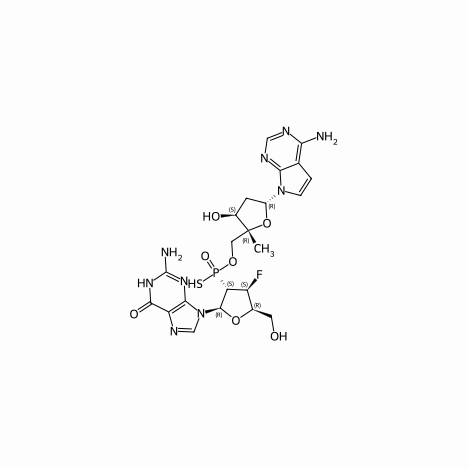 C[C@]1(COP(=O)(S)[C@@H]2[C@@H](F)[C@@H](CO)O[C@H]2n2cnc3c(=O)[nH]c(N)nc32)O[C@@H](n2ccc3c(N)ncnc32)C[C@@H]1O